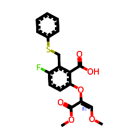 CO/C=C(/Oc1ccc(F)c(CSc2ccccc2)c1C(=O)O)C(=O)OC